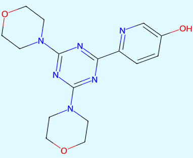 Oc1ccc(-c2nc(N3CCOCC3)nc(N3CCOCC3)n2)nc1